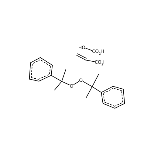 C=CC(=O)O.CC(C)(OOC(C)(C)c1ccccc1)c1ccccc1.O=C(O)O